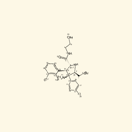 CC(C)(C)C[C@@H]1N[C@@H](C(=O)NCCO)[C@H](c2cccc(Cl)c2F)[C@@]1(N)c1ccc(Cl)cc1